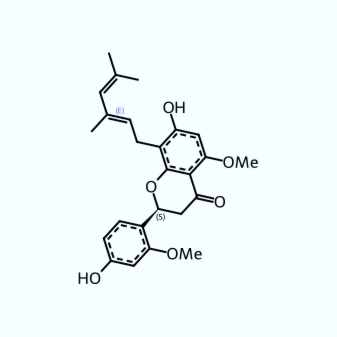 COc1cc(O)ccc1[C@@H]1CC(=O)c2c(OC)cc(O)c(C/C=C(\C)C=C(C)C)c2O1